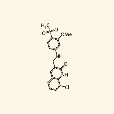 COc1cc(NCc2cc3cccc(Cl)c3[nH]c2=O)ccc1S(C)(=O)=O